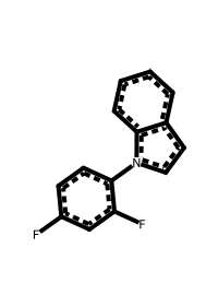 Fc1ccc(-n2ccc3c[c]ccc32)c(F)c1